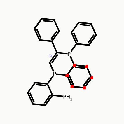 Pc1ccccc1P(/C=C(/c1ccccc1)P(c1ccccc1)c1ccccc1)c1ccccc1